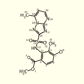 COC(=O)c1ccc(Cl)c(C)c1NS(=O)(=O)c1nc2nccc(C)n2n1